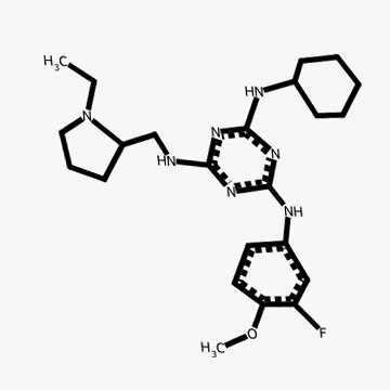 CCN1CCCC1CNc1nc(Nc2ccc(OC)c(F)c2)nc(NC2CCCCC2)n1